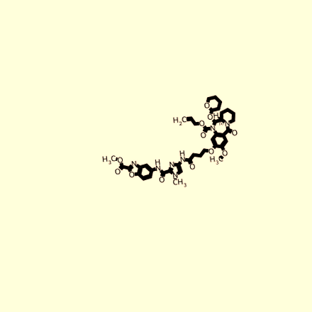 C=CCOC(=O)N1c2cc(OCCCC(=O)Nc3cn(C)c(C(=O)Nc4ccc5oc(C(=O)OC)nc5c4)n3)c(OC)cc2C(=O)N2CCCC[C@H]2C1OC1CCCCO1